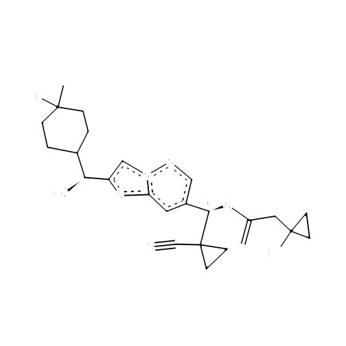 CC1(CC(=O)N[C@H](c2cnn3cc([C@@H](N)C4CCC(F)(F)CC4)nc3c2)C2(C#N)CC2)CC1